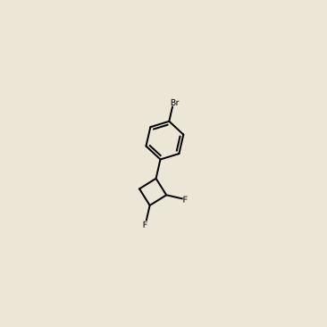 FC1CC(c2ccc(Br)cc2)C1F